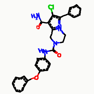 NC(=O)c1c(Cl)c(-c2ccccc2)n2c1CN(C(=O)Nc1ccc(Oc3ccccc3)cc1)CC2